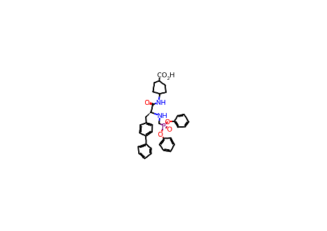 O=C(O)C1CCC(NC(=O)[C@H](Cc2ccc(-c3ccccc3)cc2)NCP(=O)(Oc2ccccc2)Oc2ccccc2)CC1